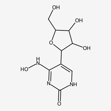 O=c1nc(NO)c(C2OC(CO)C(O)C2O)c[nH]1